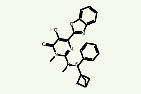 CN(c1nc(-c2nc3ccccc3o2)c(O)c(=O)n1C)[C@@H](c1ccccc1)C12CC(C1)C2